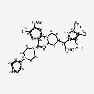 COc1cc(N2CCN(C(C=O)n3nc(C(F)(F)F)c(Cl)c3C)CC2)c(C(=O)N2CCN(c3ccncc3)CC2)cc1Cl